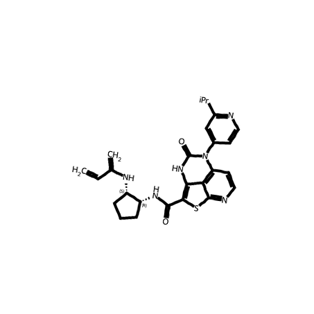 C=CC(=C)N[C@H]1CCC[C@H]1NC(=O)c1sc2nccc3c2c1NC(=O)N3c1ccnc(C(C)C)c1